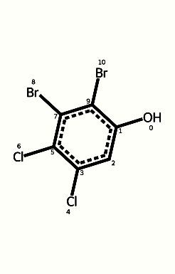 Oc1cc(Cl)c(Cl)c(Br)c1Br